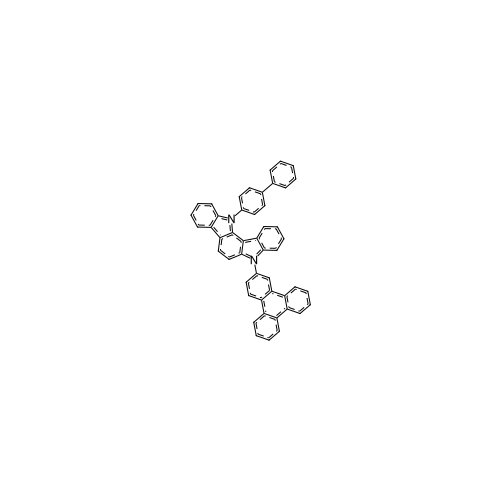 c1ccc(-c2ccc(-n3c4ccccc4c4ccc5c(c6ccccc6n5-c5ccc6c7ccccc7c7ccccc7c6c5)c43)cc2)cc1